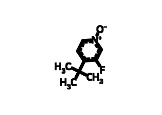 CC(C)(C)c1cc[n+]([O-])cc1F